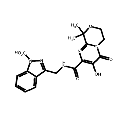 CC1(C)OCCn2c1nc(C(=O)NCc1nn(C(=O)O)c3ccccc13)c(O)c2=O